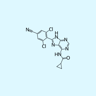 N#Cc1cc(Cl)c(-c2nc3c(NC(=O)C4CC4)ncnc3[nH]2)c(Cl)c1